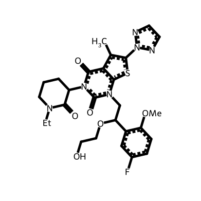 CCN1CCCC(n2c(=O)c3c(C)c(-n4nccn4)sc3n(CC(OCCO)c3cc(F)ccc3OC)c2=O)C1=O